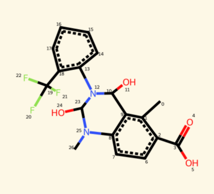 Cc1c(C(=O)O)ccc2c1C(O)N(c1ccccc1C(F)(F)F)C(O)N2C